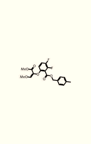 COC=C(Oc1ccc(F)c(F)c1C(=O)OCc1ccc(C)cc1)C(=O)OC